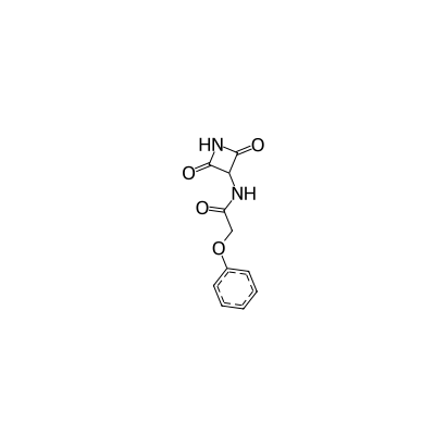 O=C(COc1ccccc1)NC1C(=O)NC1=O